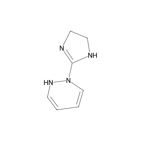 C1=CNN(C2=NCCN2)C=C1